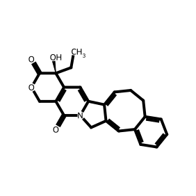 CC[C@@]1(O)C(=O)OCc2c1cc1n(c2=O)CC2=C/c3ccccc3CC/C=C\21